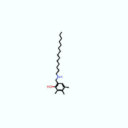 CCCCCCCCCCCCCCNCc1cc(C)c(C)c(C)c1O